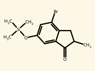 CC1Cc2c(Br)cc(O[Si](C)(C)C)cc2C1=O